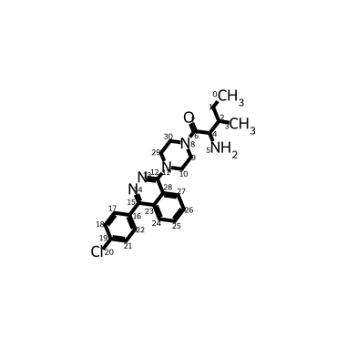 CCC(C)C(N)C(=O)N1CCN(c2nnc(-c3ccc(Cl)cc3)c3ccccc23)CC1